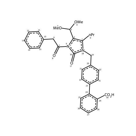 CCCc1c(C(OC)OC)n(C(=O)Cc2ccccc2)c(=O)n1Cc1ccc(-c2ccccc2C(=O)O)cc1